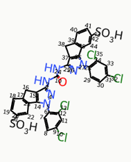 O=C(Nc1nn(-c2ccc(Cl)cc2Cl)c2c1Cc1ccc(S(=O)(=O)O)cc1-2)Nc1nn(-c2ccc(Cl)cc2Cl)c2c1Cc1ccc(S(=O)(=O)O)cc1-2